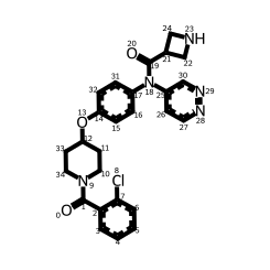 O=C(c1ccccc1Cl)N1CCC(Oc2ccc(N(C(=O)C3CNC3)c3ccnnc3)cc2)CC1